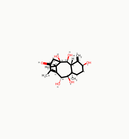 C=C1[C@@H](O)CC[C@@]2(C)[C@@H](O)[C@H](O)C3=C(C)C(=O)C[C@](O)([C@@H](O)[C@H]12)C3(C)C